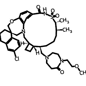 COCCN1CCN(C[C@@H]2CCC[C@H](C)[C@@H](C)S(=O)(=O)NC(=O)c3ccc4c(c3)N(C[C@@H]3CC[C@@H]23)C[C@@]2(CCCc3cc(Cl)ccc32)CO4)CCC1=O